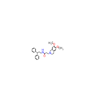 COc1cc2c(cc1OC)CN(CCC(=O)NCCC(c1ccccc1)c1ccccc1)CC2